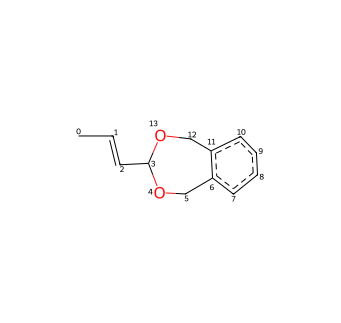 CC=CC1OCc2ccccc2CO1